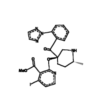 COC(=O)c1c(I)ccnc1O[C@]1(C(=O)c2ccccc2-n2nccn2)CC[C@@H](C)NC1